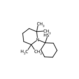 CC1(C)CCCC(C)(C)N1C1(S)CCCCC1